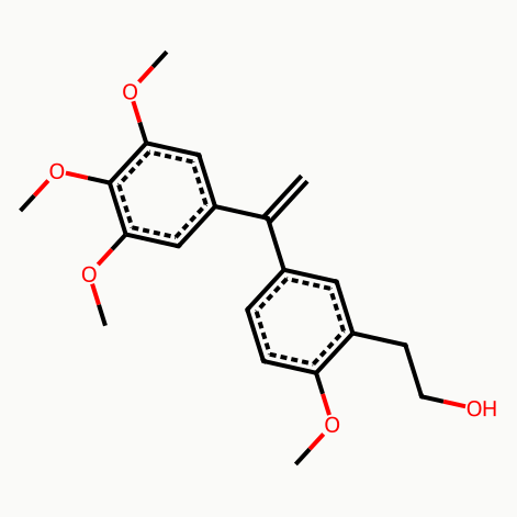 C=C(c1ccc(OC)c(CCO)c1)c1cc(OC)c(OC)c(OC)c1